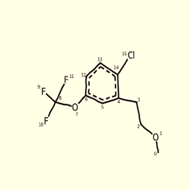 COCCc1cc(OC(F)(F)F)ccc1Cl